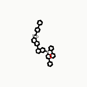 C1=CC(N(c2ccc3c(c2)=CCCC=3C2=CCC3C(=C2)C=Cc2nc(-c4ccc(-c5ccccc5)cc4)oc23)c2ccccc2-c2ccccc2)CC=C1c1ccccc1